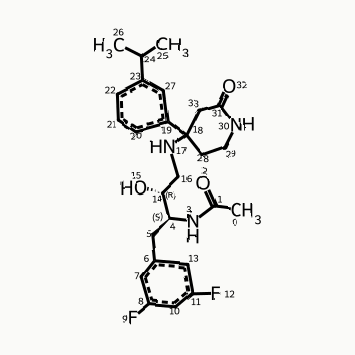 CC(=O)N[C@@H](Cc1cc(F)cc(F)c1)[C@H](O)CNC1(c2cccc(C(C)C)c2)CCNC(=O)C1